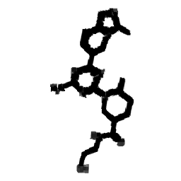 Cc1ncc2ccc(-c3nc(N)nc(N4CC(C(=O)NCCO)CCC4C)n3)cn12